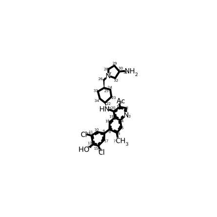 CC(=O)c1cnc2cc(C)c(-c3cc(Cl)c(O)c(Cl)c3)cc2c1N[C@H]1CC[C@H](CN2CCC(N)C2)CC1